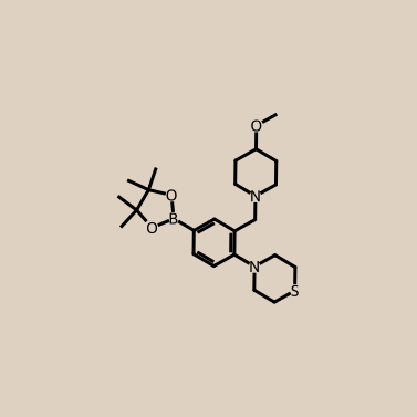 COC1CCN(Cc2cc(B3OC(C)(C)C(C)(C)O3)ccc2N2CCSCC2)CC1